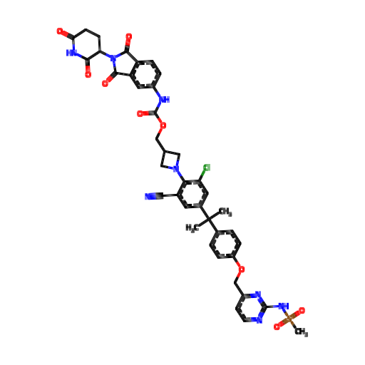 CC(C)(c1ccc(OCc2ccnc(NS(C)(=O)=O)n2)cc1)c1cc(Cl)c(N2CC(COC(=O)Nc3ccc4c(c3)C(=O)N(C3CCC(=O)NC3=O)C4=O)C2)c(C#N)c1